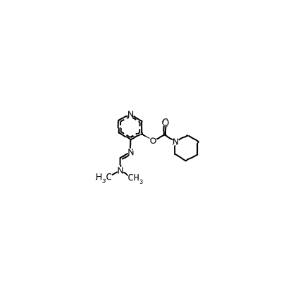 CN(C)/C=N/c1ccncc1OC(=O)N1CCCCC1